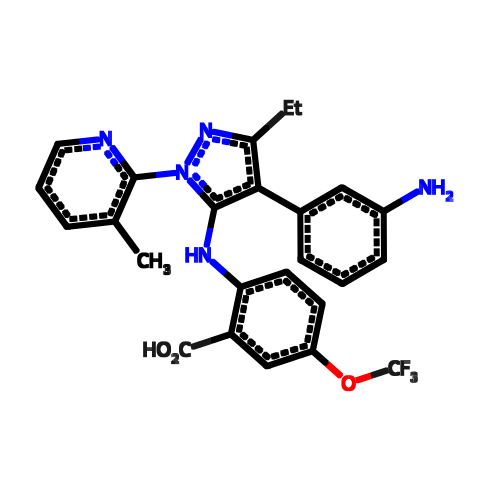 CCc1nn(-c2ncccc2C)c(Nc2ccc(OC(F)(F)F)cc2C(=O)O)c1-c1cccc(N)c1